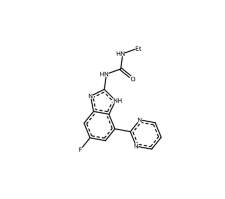 CCNC(=O)Nc1nc2cc(F)cc(-c3ncccn3)c2[nH]1